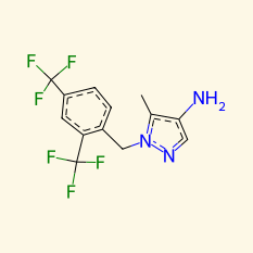 Cc1c(N)cnn1Cc1ccc(C(F)(F)F)cc1C(F)(F)F